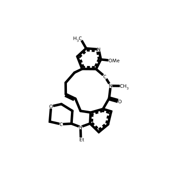 CCN(c1cccc2c1C/C=C/CCc1cc(C)nc(OC)c1CN(C)C2=O)C1CCOCC1